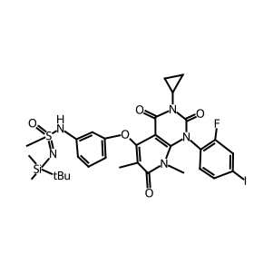 Cc1c(Oc2cccc(NS(C)(=O)=N[Si](C)(C)C(C)(C)C)c2)c2c(=O)n(C3CC3)c(=O)n(-c3ccc(I)cc3F)c2n(C)c1=O